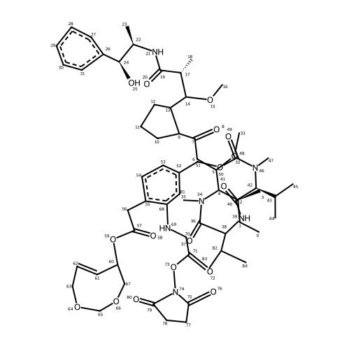 CC[C@H](C)C(C(CC(=O)C1CCCC1C(OC)[C@@H](C)C(=O)N[C@H](C)[C@@H](O)c1ccccc1)OC)N(C)C(=O)C(NC(=O)[C@H](C(C)C)N(C)C(=O)OCc1ccc(CC(=O)OC2/C=C/COCOC2)c(NCC(=O)ON2C(=O)CCC2=O)c1)C(C)C